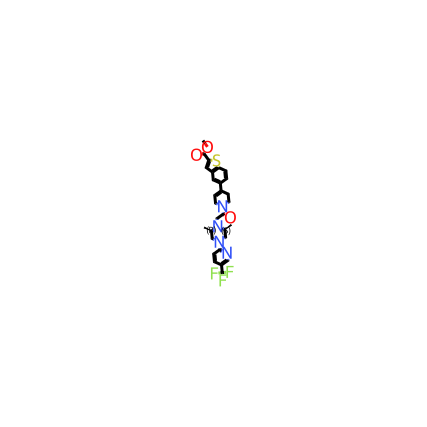 COC(=O)c1cc2cc(C3=CCN(C(=O)CN4[C@H](C)CN(c5ccc(C(F)(F)F)cn5)C[C@@H]4C)CC3)ccc2s1